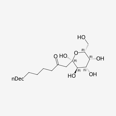 CCCCCCCCCCCCCCC(=O)C[C@@]1(O)O[C@H](CO)[C@H](O)[C@H](O)[C@H]1O